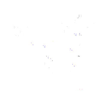 CN(C(=O)N(c1nn(CC(F)(F)F)c2c(-c3ccc(CCC(C)(C)S(C)(=O)=O)nc3[C@H](Cc3cc(F)cc(F)c3)NC(=O)Cn3nc(C(F)(F)F)c4c3C(F)(F)C3C[C@H]43)ccc(Cl)c12)S(C)(=O)=O)c1ccccc1OP(=O)(O)O